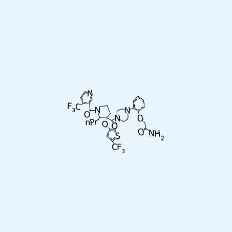 CCC[C@H]1N(C(=O)c2cnccc2C(F)(F)F)CCC[C@@]1(Oc1csc(C(F)(F)F)c1)C(=O)N1CCN(c2ccccc2OCC(N)=O)CC1